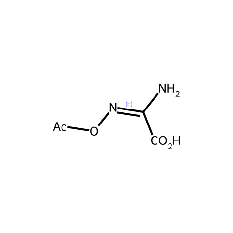 CC(=O)O/N=C(/N)C(=O)O